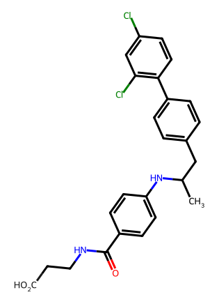 CC(Cc1ccc(-c2ccc(Cl)cc2Cl)cc1)Nc1ccc(C(=O)NCCC(=O)O)cc1